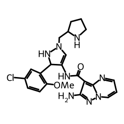 COc1ccc(Cl)cc1C1NN(CC2CCCN2)C=C1NC(=O)c1c(N)nn2cccnc12